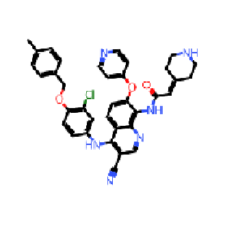 Cc1ccc(COc2ccc(Nc3c(C#N)cnc4c(NC(=O)C=C5CCNCC5)c(Oc5ccncc5)ccc34)cc2Cl)cc1